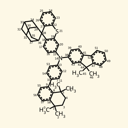 CC1(C)CCC(C)(C)c2c(-c3ccc(N(c4ccc5c(c4)Sc4ccccc4C54C5CC6CC(C5)CC4C6)c4ccc5c(c4)C(C)(C)c4ccccc4-5)cc3)cccc21